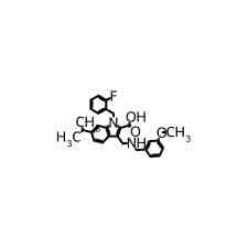 COc1cccc(CNCc2c(C(=O)O)n(Cc3ccccc3F)c3cc(C(C)C)ccc23)c1